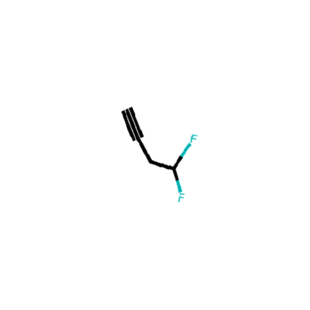 C#CC[C](F)F